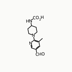 Cc1cc(C=O)cnc1N1CCC(NC(=O)O)CC1